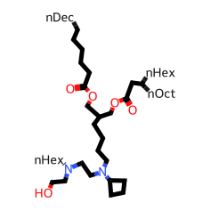 CCCCCCCCCCCCCCCC(=O)OCC(CCCCN(CCN(CCO)CCCCCC)C1CCC1)COC(=O)CC(CCCCCC)CCCCCCCC